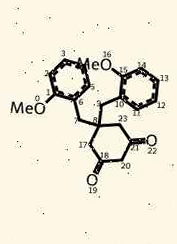 COc1ccccc1CC1(Cc2ccccc2OC)CC(=O)CC(=O)C1